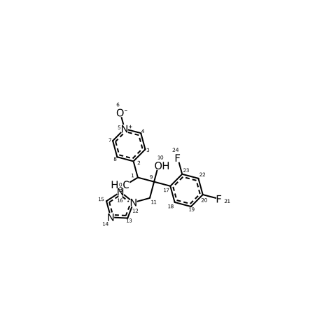 CC(c1cc[n+]([O-])cc1)C(O)(Cn1cncn1)c1ccc(F)cc1F